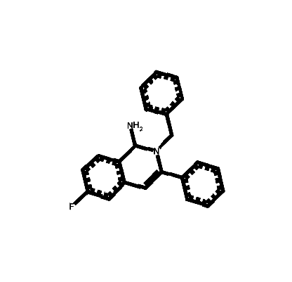 NC1c2ccc(F)cc2C=C(c2ccccc2)N1Cc1ccccc1